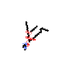 CCCCC/C=C\C/C=C\CCCCCCCC(=O)OCC(COC(=O)CCC(OCCCCCCCC)OCCCCCCCC)COC(=O)NC1CCN(CC)C1